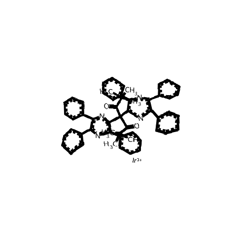 CC(C)(C)C(=O)C(C(=O)C(C)(C)C)(c1nc(-c2ccccc2)c(-c2ccccc2)nc1-c1ccccc1)c1nc(-c2ccccc2)c(-c2ccccc2)nc1-c1ccccc1.[Ir+3]